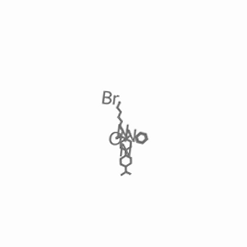 CC(C)C1CCC(N2CCC3(CC2)C(=O)N(CCCCCCBr)CN3c2ccccc2)CC1